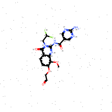 COc1c(OCC=O)ccc2c(=O)n(CC(F)F)c(NC(=O)c3cnc(N)nc3)nc12